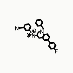 N#Cc1cccc(S(=O)(=O)NC2Cc3cc(-c4ccc(F)cc4)ccc3N(Cc3ccccc3)C2)c1